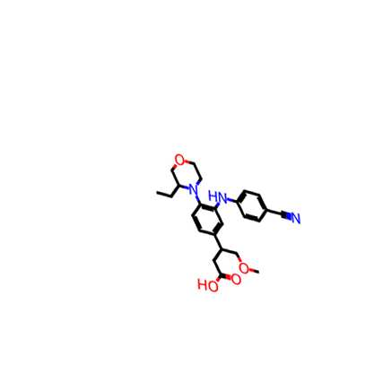 CCC1COCCN1c1ccc(C(COC)CC(=O)O)cc1Nc1ccc(C#N)cc1